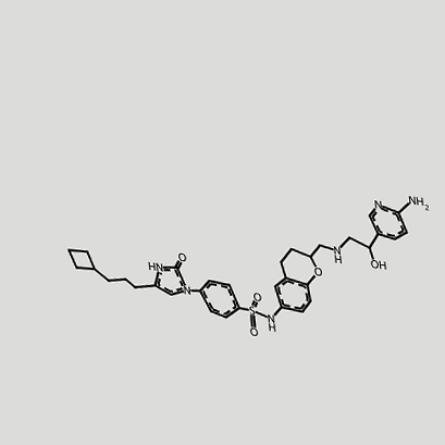 Nc1ccc(C(O)CNCC2CCc3cc(NS(=O)(=O)c4ccc(-n5cc(CCCC6CCC6)[nH]c5=O)cc4)ccc3O2)cn1